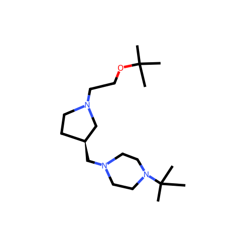 CC(C)(C)OCCN1CC[C@H](CN2CCN(C(C)(C)C)CC2)C1